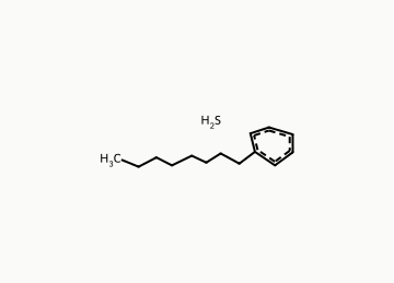 CCCCCCCCc1ccccc1.S